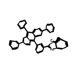 c1ccc(-c2ccc3c(-c4cccc(-c5nc6ccccc6s5)c4)c4cc(-c5ccccc5)ccc4c(-c4ccccc4)c3c2)cc1